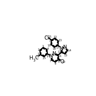 Cc1cccc(-n2ccc(=O)c(-c3ccnn3-c3ccc(Cl)cc3)n2)c1